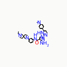 CCN1CCC2(CCN(c3cccc(NC(=O)c4cn(C5N=CC=C(c6ccc(N(C)C)cc6)N5)nc4N)c3)C2)C1